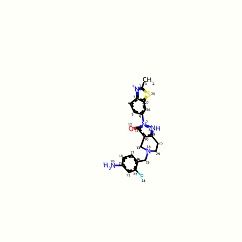 Cc1nc2ccc(-n3[nH]c4c(c3=O)CN(Cc3ccc(N)cc3F)CC4)cc2s1